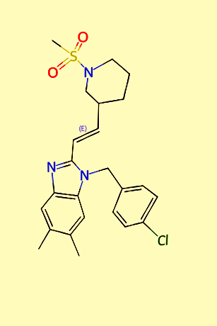 Cc1cc2nc(/C=C/C3CCCN(S(C)(=O)=O)C3)n(Cc3ccc(Cl)cc3)c2cc1C